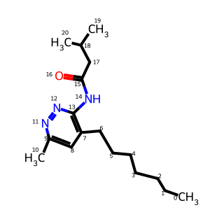 CCCCCCCc1cc(C)nnc1NC(=O)CC(C)C